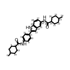 CC1CCC(C(=O)Nc2ccc(-c3cc4cc(NC(=O)C5CCC(C)CC5)ccc4[nH]3)cc2)CC1